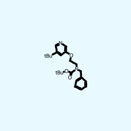 CC(C)(C)OC(=O)N(CCOc1cncc(C(C)(C)C)c1)Cc1ccccc1